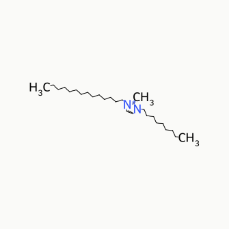 CCCCCCCCCCCCCC[n+]1ccn(CCCCCCCCC)c1C